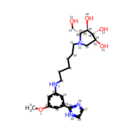 COc1cc(NCCCCCCN2C[C@H](O)[C@@H](O)[C@H](O)[C@H]2CO)cc(-c2ncc[nH]2)c1